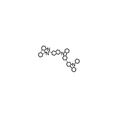 c1ccc(-n2c3ccccc3c3ccc(-c4ccc5c(c4)c4ccccc4n5-c4ccc5cc(-c6nc7c8c(cccc8n6)-c6ccccc6-7)ccc5c4)cc32)cc1